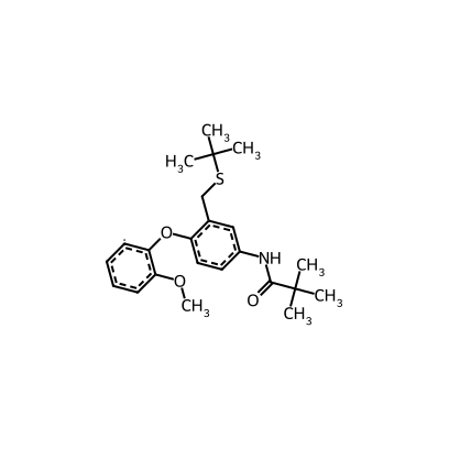 COc1ccc[c]c1Oc1ccc(NC(=O)C(C)(C)C)cc1CSC(C)(C)C